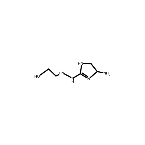 NC1CNC(NNCCO)=N1